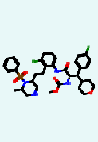 COC(=O)N[C@H](C(=O)Nc1cccc(F)c1CC[C@H]1CNC[C@@H](C)N1S(=O)(=O)c1ccccc1)[C@@H](c1ccc(F)cc1)C1CCOCC1